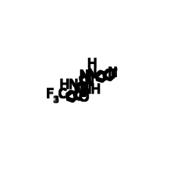 Cc1ccc(C(F)(F)F)cc1-n1c(=O)[nH]c2nc(Nc3ccc4c(c3)CN(C)CC4)ncc2c1=N